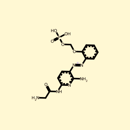 NCC(=O)Nc1ccc(/N=N/c2ccccc2OCOP(=O)(O)O)c(N)n1